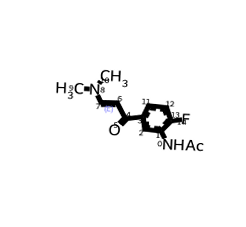 CC(=O)Nc1cc(C(=O)/C=C/N(C)C)ccc1F